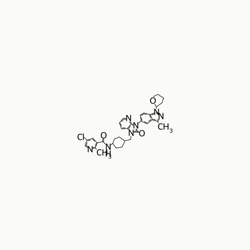 Cc1ncc(Cl)cc1C(=O)NC1CCC(Cn2c(=O)n(-c3ccc4c(c3)c(C)nn4C3CCCCO3)c3ncccc32)CC1